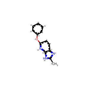 Cc1nc2ccc(Oc3ccccc3)nc2[nH]1